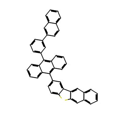 c1cc(-c2ccc3ccccc3c2)cc(-c2c3ccccc3c(-c3ccc4sc5cc6ccccc6cc5c4c3)c3ccccc23)c1